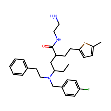 CCC(CC(CCc1ccc(C)s1)C(=O)NCCN)N(CCc1ccccc1)Cc1ccc(F)cc1